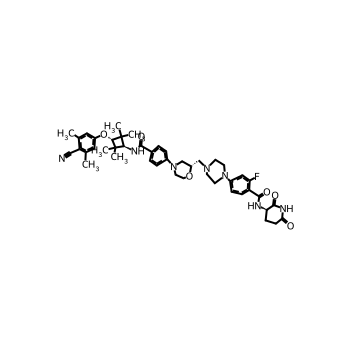 Cc1cc(O[C@H]2C(C)(C)[C@H](NC(=O)c3ccc(N4CCO[C@@H](CN5CCN(c6ccc(C(=O)N[C@@H]7CCC(=O)NC7=O)c(F)c6)CC5)C4)cc3)C2(C)C)cc(C)c1C#N